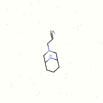 C=CCN1CC2CCCC(C1)N2